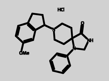 COc1ccc2c(c1)C(N1CCC3(CC1)C(=O)NCN3c1ccccc1)CC2.Cl